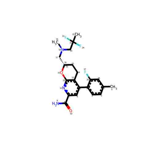 Cc1ccc(-c2cc(C(N)=O)nc3c2CC[C@@H](CN(C)CC(C)(F)F)O3)c(F)c1